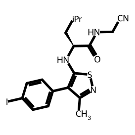 Cc1nsc(N[C@@H](CC(C)C)C(=O)NCC#N)c1-c1ccc(I)cc1